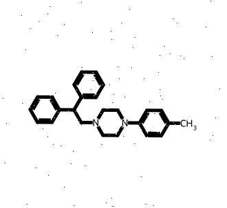 Cc1ccc(N2CCN(CC(c3ccccc3)c3ccccc3)CC2)cc1